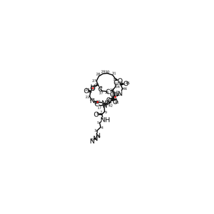 [N-]=[N+]=NCCCNC(=O)CN1CCN2CCN3CCN(CC1)CC(=O)O[C@@H]1CCCCCC(CC[C@@H](CCC1)OC(=O)C3)OC(=O)C2